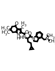 Cc1c(C(=O)NC(CCC2CC2)C(=O)N2CCc3c(CN(C)C)cccc32)[nH]c2c1C(=O)CC(C)(C)C2